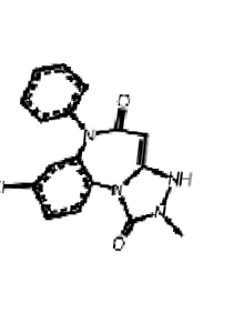 CN1NC2=CC(=O)N(c3ccccc3)c3cc(Cl)ccc3N2C1=O